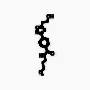 COCCCNC(=O)c1ccc(-c2noc(CCO)n2)cc1